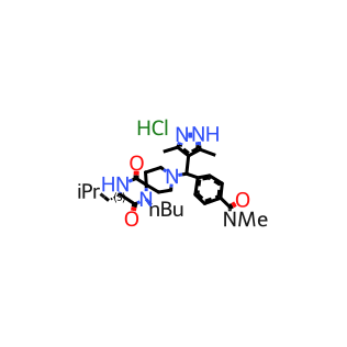 CCCCN1C(=O)[C@H](CC(C)C)NC(=O)C12CCN(C(c1ccc(C(=O)NC)cc1)c1c(C)n[nH]c1C)CC2.Cl